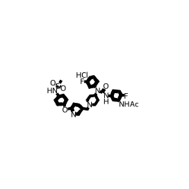 CC(=O)Nc1cc(NC(=O)N(c2cccc(F)c2)C2CCN(Cc3ccc(Oc4ccc(NS(C)(=O)=O)cc4)nc3)CC2)ccc1F.Cl